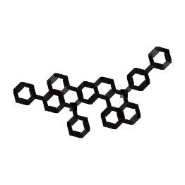 c1ccc(-c2ccc(N(c3ccccc3)c3cc4c(-c5ccccc5)c(N(c5ccccc5)c5ccc(-c6ccccc6)cc5)ccc4cc3-c3ccccc3)cc2)cc1